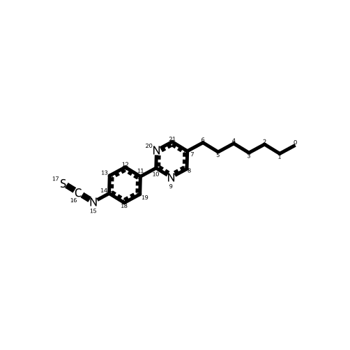 CCCCCCCc1cnc(-c2ccc(N=C=S)cc2)nc1